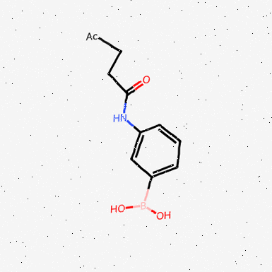 CC(=O)CCC(=O)Nc1cccc(B(O)O)c1